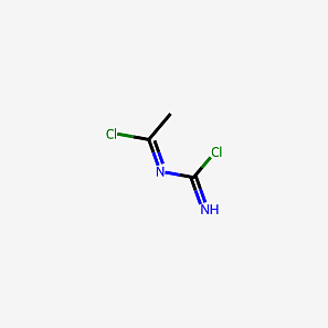 C/C(Cl)=N\C(=N)Cl